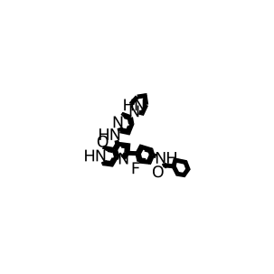 O=C(Nc1ccc(-c2cc(Nc3ccc(N4CC5CC(C4)N5)cn3)c3c(=O)[nH]ccc3n2)c(F)c1)C1CCCCC1